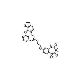 CCN1C(=O)C(C)(C)C(=O)N(C)c2cc(OCCCN(CCn3ccc4ccsc4c3=O)Cc3ccncc3)ccc21